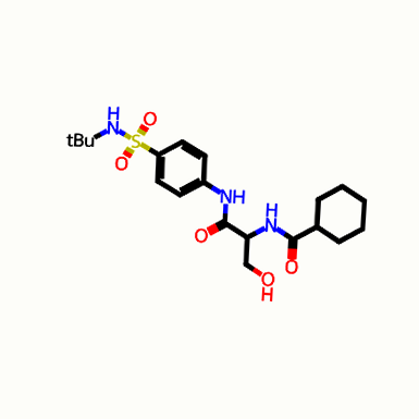 CC(C)(C)NS(=O)(=O)c1ccc(NC(=O)C(CO)NC(=O)C2CCCCC2)cc1